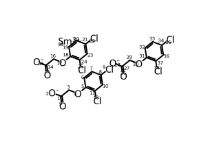 O=C([O-])COc1ccc(Cl)cc1Cl.O=C([O-])COc1ccc(Cl)cc1Cl.O=C([O-])COc1ccc(Cl)cc1Cl.[Sm+3]